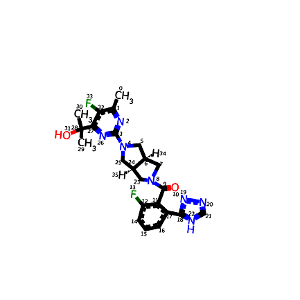 Cc1nc(N2C[C@H]3CN(C(=O)c4c(F)cccc4-c4nnc[nH]4)C[C@H]3C2)nc(C(C)(C)O)c1F